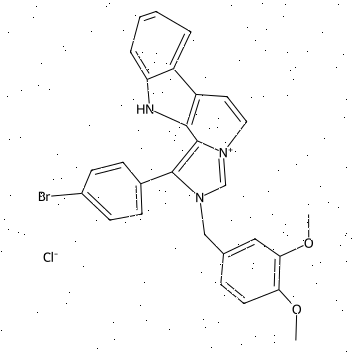 COc1ccc(Cn2c[n+]3ccc4c5ccccc5[nH]c4c3c2-c2ccc(Br)cc2)cc1OC.[Cl-]